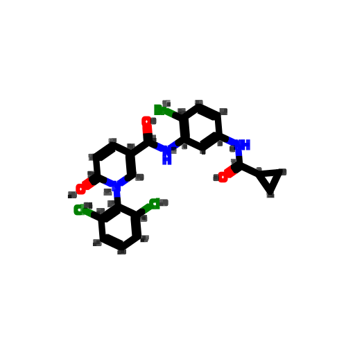 O=C(Nc1cc(NC(=O)C2CC2)ccc1Br)c1ccc(=O)n(-c2c(Cl)cccc2Cl)c1